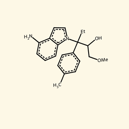 CCC(c1ccc(C)cc1)(C(O)COC)n1ccc2c(N)cccc21